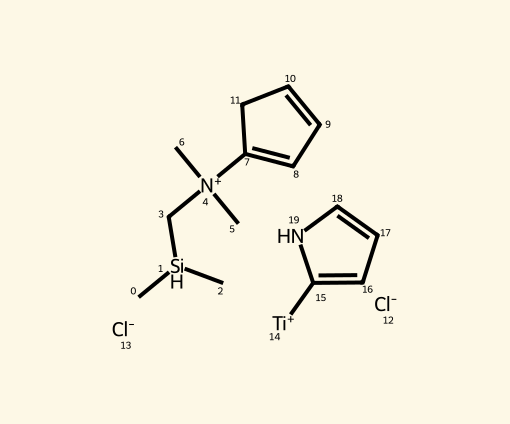 C[SiH](C)C[N+](C)(C)C1=CC=CC1.[Cl-].[Cl-].[Ti+][c]1ccc[nH]1